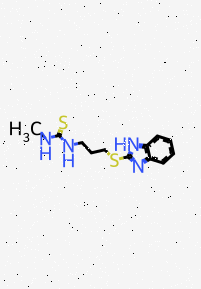 CNC(=S)NCCCSc1nc2ccccc2[nH]1